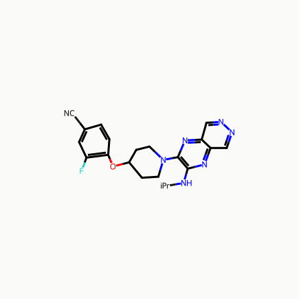 CC(C)Nc1nc2cnncc2nc1N1CCC(Oc2ccc(C#N)cc2F)CC1